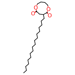 CCCCCCCCCCCCCCCCCCC1CC(=O)OCCCCOC1=O